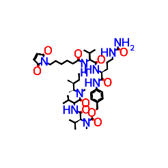 CC[C@H](C)[C@@H](C)N(C)C(=O)C(NC(=O)[C@H](C(C)C)N(C)C(=O)OCc1ccc(NC(=O)[C@H](CCCNC(N)=O)NC(=O)[C@@H](NC(=O)CCCCCN2C(=O)C=CC2=O)C(C)C)cc1)C(C)C